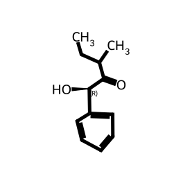 CCC(C)C(=O)[C@H](O)c1ccccc1